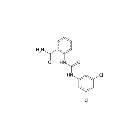 NC(=O)c1ccccc1NC(=O)Nc1cc(Cl)cc(Cl)c1